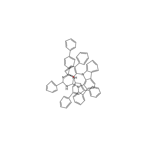 c1ccc(-c2ccc(C3=NC(c4ccccc4)NC(n4c5ccccc5c5ccc6c7ccccc7n(-c7c(-c8ccccc8)cccc7-c7cc(-c8ccccc8)cc(-c8ccccc8)c7)c6c54)N3)cc2)cc1